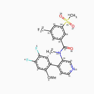 COc1cc(F)c(F)cc1-c1ccncc1N(C)C(=O)c1cc(C(F)(F)F)cc(S(C)(=O)=O)c1